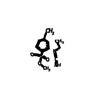 CCN=C=N.COS(=O)(=O)c1ccc(C)cc1